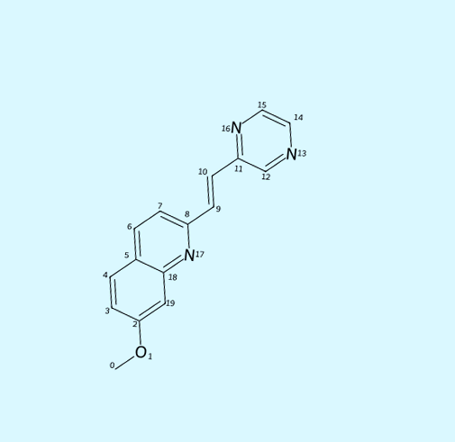 COc1ccc2ccc(/C=C/c3cnccn3)nc2c1